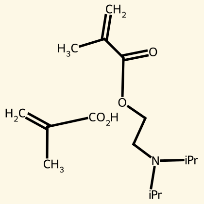 C=C(C)C(=O)O.C=C(C)C(=O)OCCN(C(C)C)C(C)C